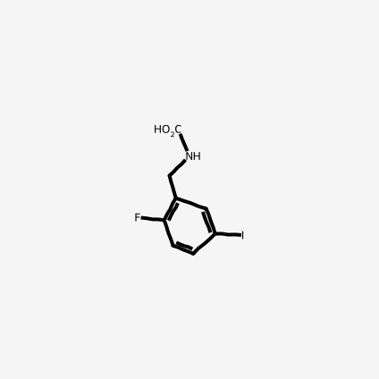 O=C(O)NCc1cc(I)ccc1F